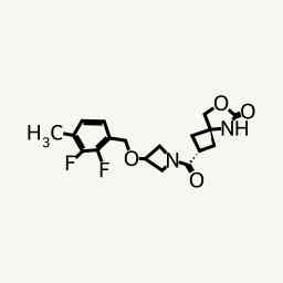 Cc1ccc(COC2CN(C(=O)[C@H]3C[C@]4(COC(=O)N4)C3)C2)c(F)c1F